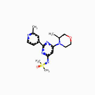 Cc1cc(-c2nc(N=S(C)(C)=O)cc(N3CCOCC3C)n2)ccn1